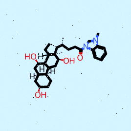 C[C@H](CCC(=O)N1CN(C)c2ccccc21)[C@H]1CC[C@H]2[C@@H]3[C@H](O)C[C@@H]4C[C@H](O)CC[C@]4(C)[C@H]3C[C@H](O)[C@]12C